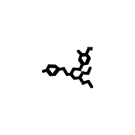 CCOC(CC(COc1ccc(C)cc1)CSc1ccc(O)c(C)c1)OCC